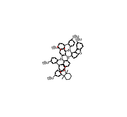 CC(C)(C)c1ccc(N2c3cc(N4c5ccc(C(C)(C)C)cc5C5(C)CCCCC45C)ccc3B3c4ccc5sc6ccc(C(C)(C)C)cc6c5c4N(c4ccc(C(C)(C)C)cc4-c4ccccc4)c4cc(C(C)(C)C)cc2c43)c(-c2ccccc2)c1